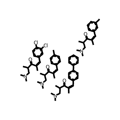 CC(=Cc1ccc(-c2ccccc2)cc1)C(=O)C(C)CN(C)C.CC(=Cc1ccc(C)cc1)C(=O)C(C)CN(C)C.CC(=Cc1ccc(Cl)c(Cl)c1)C(=O)C(C)CN(C)C.CC(=Cc1cccc(C)c1)C(=O)C(C)CN(C)C